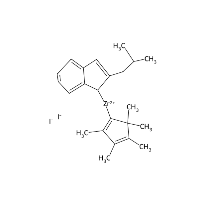 CC1=C(C)C(C)(C)[C]([Zr+2][CH]2C(CC(C)C)=Cc3ccccc32)=C1C.[I-].[I-]